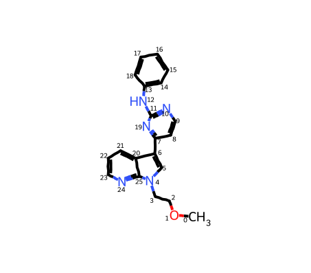 COCCn1cc(-c2ccnc(Nc3ccccc3)n2)c2cccnc21